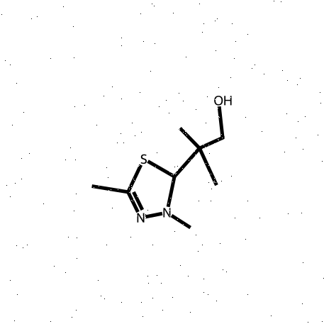 CC1=NN(C)C(C(C)(C)CO)S1